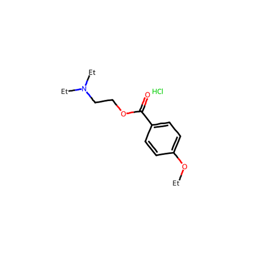 CCOc1ccc(C(=O)OCCN(CC)CC)cc1.Cl